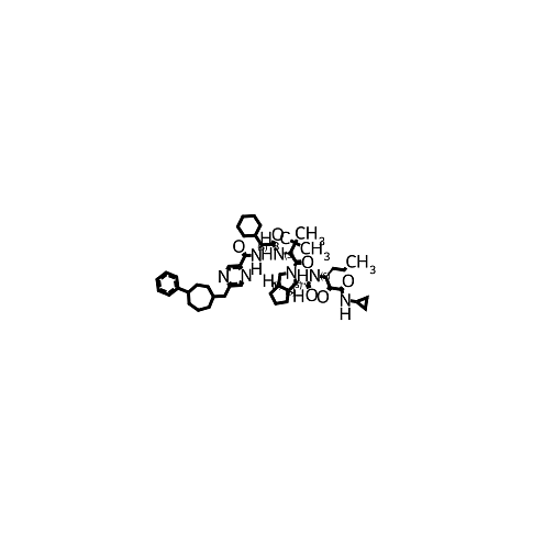 CCC[C@H](NC(=O)[C@@H]1[C@H]2CCC[C@H]2CN1C(=O)[C@@H](NC(=O)[C@@H](NC(=O)c1cnc(CC2CCCC(c3ccccc3)CC2)cn1)C1CCCCC1)C(C)(C)C)C(=O)C(=O)NC1CC1